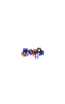 Cn1ncc2cccc(NS(=O)(=O)c3ccc(-c4cnn5c4OCCC5)nc3)c21